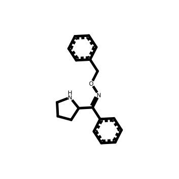 c1ccc(CO/N=C(/c2ccccc2)C2CCCN2)cc1